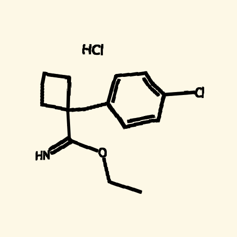 CCOC(=N)C1(c2ccc(Cl)cc2)CCC1.Cl